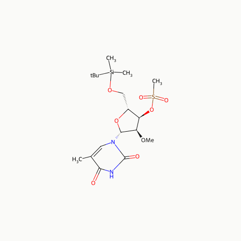 CO[C@@H]1[C@H](OS(C)(=O)=O)[C@@H](CO[Si](C)(C)C(C)(C)C)O[C@H]1n1cc(C)c(=O)[nH]c1=O